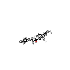 Cc1nn(C)cc1C1CCNC(NC23CC(NC(=O)COc4ccc(Cl)c(F)c4)(C2)C3)N1